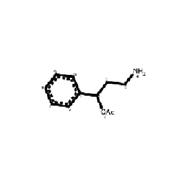 CC(=O)OC(CCN)c1ccccc1